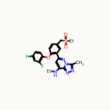 CCNc1cc(-c2cc(CS(=O)(=O)CC)ccc2Oc2ccc(F)cc2F)nn2c(C)nnc12